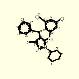 Cc1nn(C2CCCCC2)c(Sc2cc(Cl)cc(Cl)c2)c1Cc1ccccc1